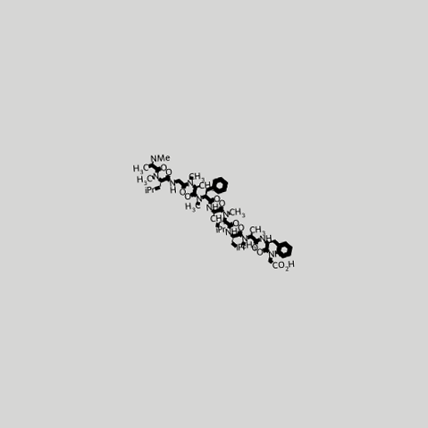 CN[C@@H](C)C(=O)N(C)[C@@H](CC(C)C)C(=O)NCC(=O)N(C)[C@@H](C)C(=O)N(C)[C@@H](Cc1ccccc1)C(=O)N[C@@H](C)C(=O)N(C)[C@@H](CC(C)C)C(=O)N[C@@H](CC(C)C)C(=O)N(C)[C@@H](C)C(=O)N[C@@H](Cc1ccccc1)C(=O)NCC(=O)O